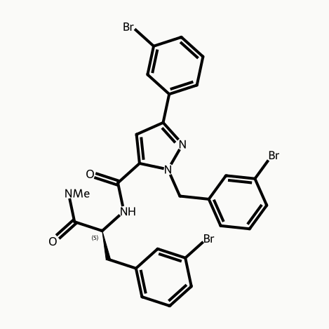 CNC(=O)[C@H](Cc1cccc(Br)c1)NC(=O)c1cc(-c2cccc(Br)c2)nn1Cc1cccc(Br)c1